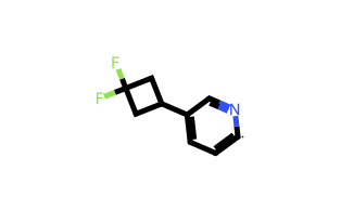 FC1(F)CC(c2cc[c]nc2)C1